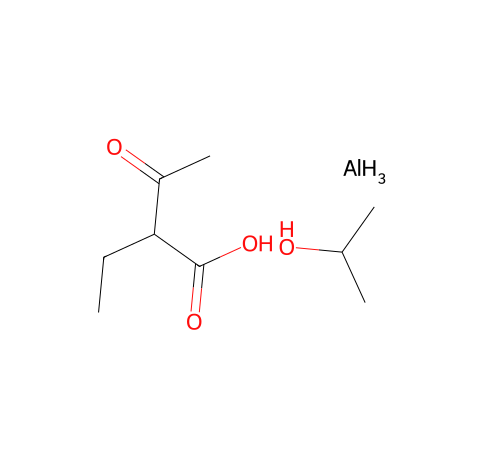 CC(C)O.CCC(C(C)=O)C(=O)O.[AlH3]